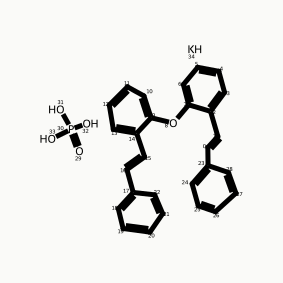 C(=Cc1ccccc1Oc1ccccc1C=Cc1ccccc1)c1ccccc1.O=P(O)(O)O.[KH]